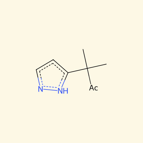 CC(=O)C(C)(C)c1ccn[nH]1